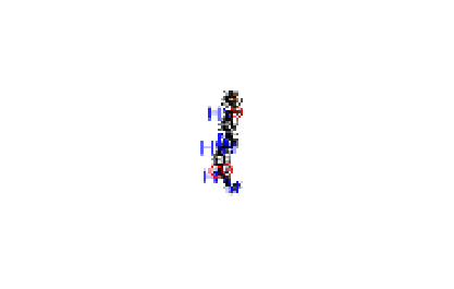 CN(C)CCNS(=O)(=O)c1ccc(Nc2nccc(-c3ccc(NC(=O)c4cccs4)cc3)n2)cc1